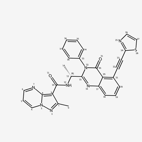 Cc1nn2cccnc2c1C(=O)N[C@H](C)c1nc2cccc(C#Cc3nccs3)c2c(=O)n1-c1ccccc1